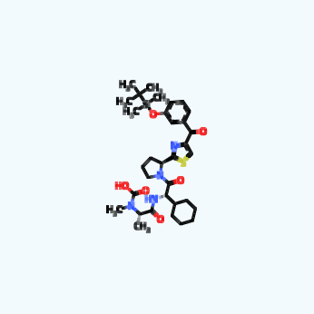 C[C@@H](C(=O)N[C@H](C(=O)N1CCC[C@H]1c1nc(C(=O)c2cccc(O[Si](C)(C)C(C)(C)C)c2)cs1)C1CCCCC1)N(C)C(=O)O